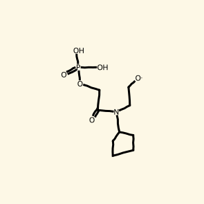 [O]CCN(C(=O)COP(=O)(O)O)C1CCCC1